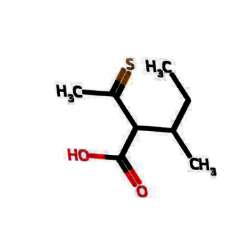 CCC(C)C(C(=O)O)C(C)=S